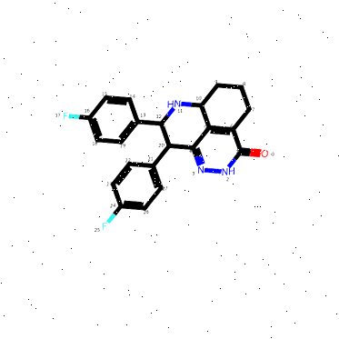 O=c1[nH]nc2c3c1CCCC3NC(c1ccc(F)cc1)C2c1ccc(F)cc1